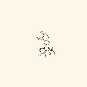 C[C@H]1c2cc(-c3ccc(Br)c(F)c3S(=O)(=O)NF)ccc2CC[C@@H]1O